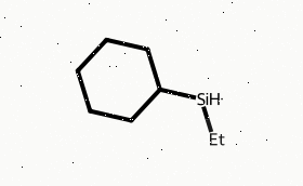 CC[SiH]C1CCCCC1